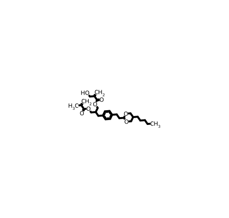 C=C(C)C(=O)OCC(COC(=O)C(=C)CO)Cc1ccc(CCC2OCC(CCCCC)CO2)cc1